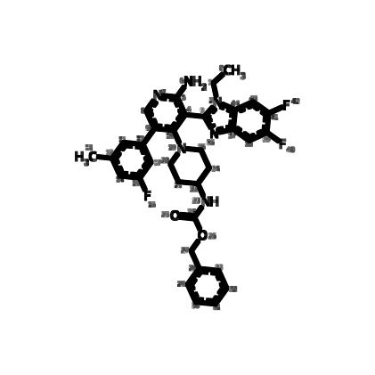 CCn1c(-c2c(N)ncc(-c3cc(C)cc(F)c3)c2N2CCC(NC(=O)OCc3ccccc3)CC2)nc2cc(F)c(F)cc21